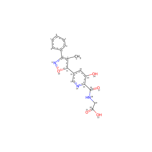 Cc1c(-c2ccccc2)noc1-c1cnc(C(=O)NCC(=O)O)c(O)c1